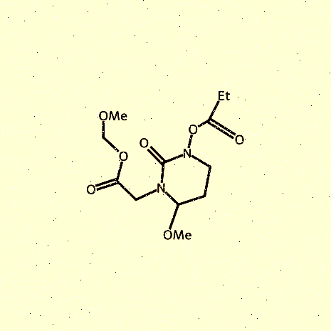 CCC(=O)ON1CCC(OC)N(CC(=O)OCOC)C1=O